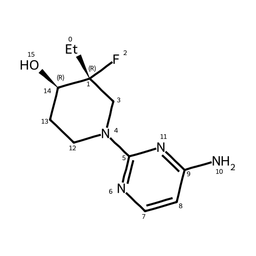 CC[C@@]1(F)CN(c2nccc(N)n2)CC[C@H]1O